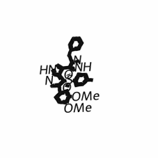 COc1ccc(-c2cnc3[nH]cc(-c4c[nH]nc4Cc4ccccc4)c3c2S(=O)(=O)c2ccc(C)cc2)cc1OC